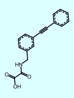 O=C(O)C(=O)NCc1cccc(C#Cc2ccccc2)c1